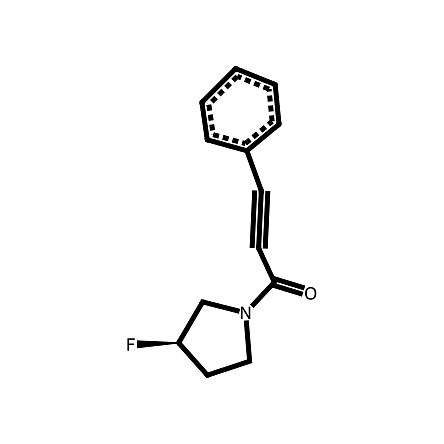 O=C(C#Cc1ccccc1)N1CC[C@@H](F)C1